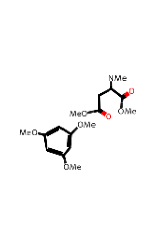 CNC(CC(=O)OC)C(=O)OC.COc1cc(OC)cc(OC)c1